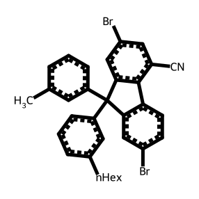 CCCCCCc1cccc(C2(c3cccc(C)c3)c3cc(Br)ccc3-c3c(C#N)cc(Br)cc32)c1